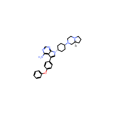 Nc1ncnc2c1c(-c1ccc(Oc3ccccc3)cc1)cn2[C@H]1CC[C@H](N2CCN3CCC[C@H]3C2)CC1